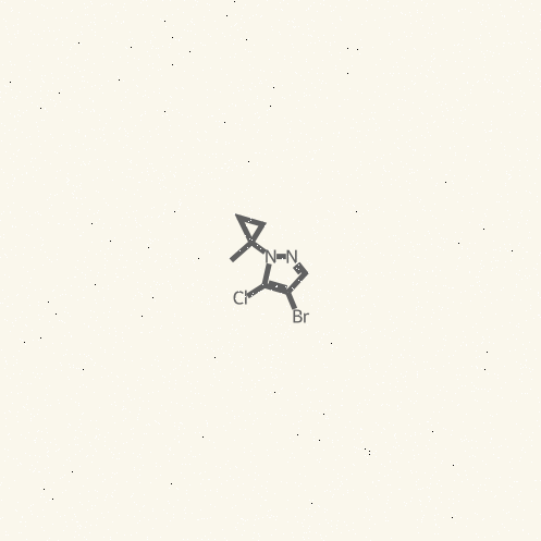 CC1(n2ncc(Br)c2Cl)CC1